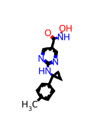 Cc1ccc(C2(Nc3ncc(C(=O)NO)cn3)CC2)cc1